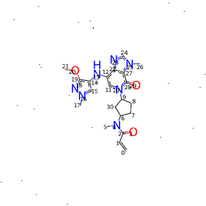 C=CC(=O)N(C)C1CCC(n2cc(Nc3cn(C)nc3OC)c3ncn(C)c3c2=O)C1